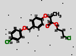 CC(Oc1ccc(COc2ccc(Cl)cc2)cc1)C(=O)OCCCCl